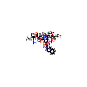 CCCC(NC(=O)C1C[C@@H](OC(=O)N2CCc3ccccc3C2)CN1C(=O)[C@@H](NC(=O)C(=O)C(C)C)C(C)C)C(=O)C(=O)N[C@@H](C)C(C)=O